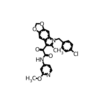 COc1cc(NC(=O)C(=O)c2c(C)n(Cc3ccc(Cl)cc3)c3cc4c(cc23)OCO4)ccn1